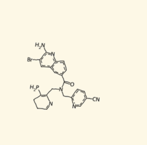 N#Cc1ccc(CN(CC2=C(P)CCC=N2)C(=O)c2ccc3nc(N)c(Br)cc3c2)nc1